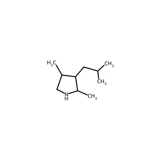 CC(C)CC1C(C)CNC1C